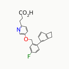 O=C(O)CCc1ccc(OCc2cc(F)ccc2-c2ccc3c(c2)CC3)cn1